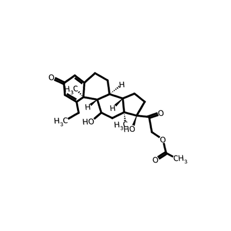 CCC1=CC(=O)C=C2CC[C@@H]3[C@H](C(O)C[C@@]4(C)[C@H]3CC[C@]4(O)C(=O)COC(C)=O)[C@@]12C